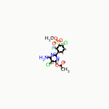 COS(=O)(=O)c1c(Cl)ccc(-c2nc(N)c(Cl)c(OC(C)=O)n2)c1F